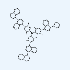 Cc1cc(N(c2cc(C)c(-c3ccc(-c4cccc5ccccc45)c4ccccc34)cc2C)c2cc(C)c(-c3ccc(-c4cccc5ccccc45)c4ccccc34)cc2C)c(C)cc1-c1ccc(-c2ccccc2)c2ccccc12